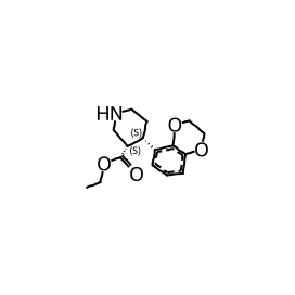 CCOC(=O)[C@@H]1CNCC[C@@H]1c1cccc2c1OCCO2